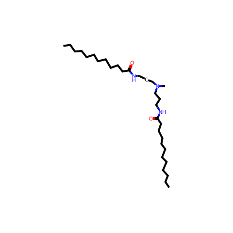 CCCCCCCCCCCC(=O)NCCCN(C)CCCNC(=O)CCCCCCCCCCC